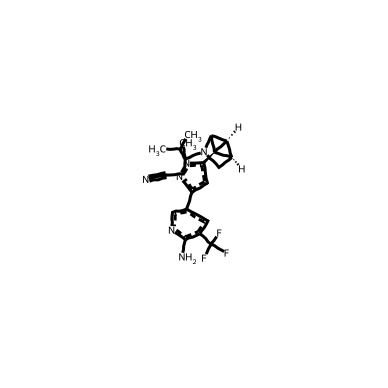 CC(CC#N)N1C[C@@H]2[C@@H]3C1[C@@]23c1cc(-c2cnc(N)c(C(F)(F)F)c2)nn1C(C)C